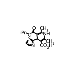 CC1=C(C(=O)O)C(c2nccs2)C(C(=O)OC(C)C)=C(C)N1